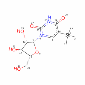 [CH3][Sn]([CH3])([CH3])[c]1cn([C@@H]2O[C@H](CO)[C@@H](O)[C@@H]2O)c(=O)[nH]c1=O